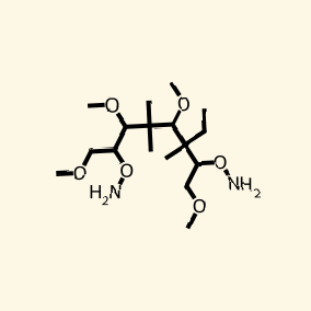 CCC(C)(C(COC)ON)C(OC)C(C)(C)C(OC)C(COC)ON